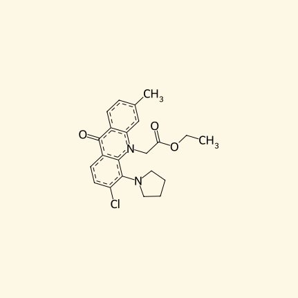 CCOC(=O)Cn1c2cc(C)ccc2c(=O)c2ccc(Cl)c(N3CCCC3)c21